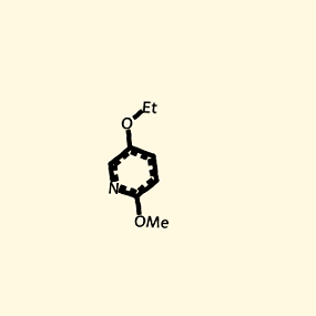 CCOc1ccc(OC)nc1